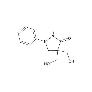 O=C1NN(c2ccccc2)CC1(CO)CO